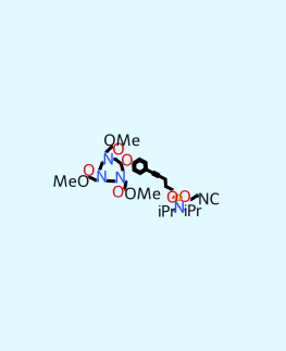 [C-]#[N+]CCOP(OCCCC#Cc1ccc(OC2CN(CC(=O)OC)CCN(CC(=O)OC)CCN(CC(=O)OC)C2)cc1)N(C(C)C)C(C)C